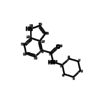 O=C(NC1CCCCC1)c1cccc2[nH]ccc12